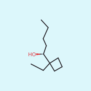 CCCC[C@H](O)C1(CC)CCC1